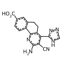 N#Cc1c(N)nc2c(c1-c1nnc[nH]1)CCc1cc(C(=O)O)ccc1-2